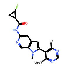 CCc1ncnc(OC)c1-c1cc2cc(NC(=O)C3CC3F)ncc2n1C